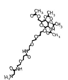 CC(=O)NC1[C@H](OCCOCCOCCNC(=O)CCOCCNC(=O)CN)OC(COC(C)=O)[C@H](OC(C)=O)[C@@H]1OC(C)=O